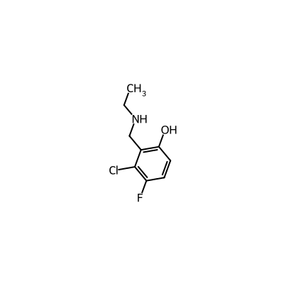 CCNCc1c(O)ccc(F)c1Cl